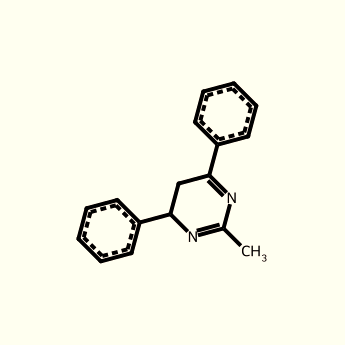 CC1=NC(c2ccccc2)CC(c2ccccc2)=N1